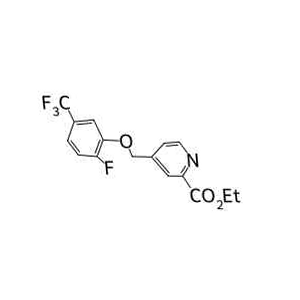 CCOC(=O)c1cc(COc2cc(C(F)(F)F)ccc2F)ccn1